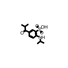 CC(C)Nc1ccc(C(=O)C(C)C)cc1S(=O)(=O)O